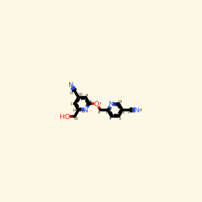 N#Cc1ccc(COc2cc(C#N)cc(CO)n2)nc1